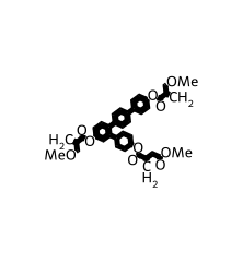 C=C(COC)C(=O)Oc1ccc(-c2ccc(-c3ccc(OC(=O)C(=C)COC)cc3C3CCC(OC(=O)C(=C)CC(=O)OC)CC3)cc2)cc1